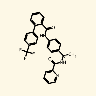 C[C@@H](NC(=O)c1ccccn1)c1ccc(NC(=O)c2ccccc2-c2ccc(C(F)(F)F)cc2)cc1